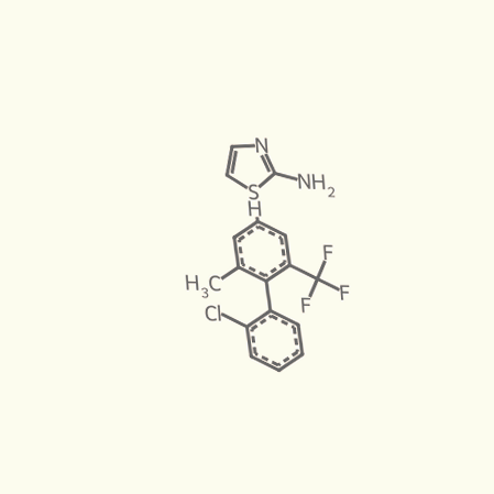 Cc1cc([SH]2C=CN=C2N)cc(C(F)(F)F)c1-c1ccccc1Cl